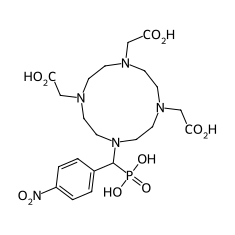 O=C(O)CN1CCN(CC(=O)O)CCN(C(c2ccc([N+](=O)[O-])cc2)P(=O)(O)O)CCN(CC(=O)O)CC1